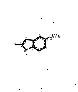 COc1ccc2c(c1)[C]=C(C)C2